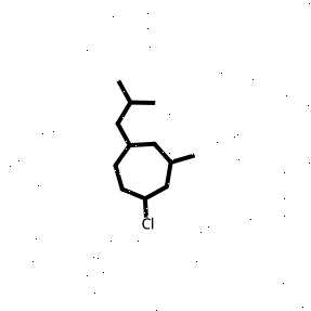 CC(C)CC1CCC(Cl)CC(C)C1